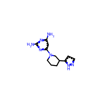 Nc1cc(N2CCCC(c3ccn[nH]3)C2)nc(N)n1